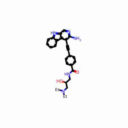 CCN(CC)CC(O)CNC(=O)c1ccc(C#Cc2c(N)ncc3[nH]c4ccccc4c23)cc1